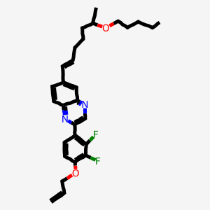 C=CCOc1ccc(-c2cnc3cc(C=CCCCC(C)OCCCCC)ccc3n2)c(F)c1F